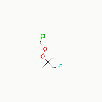 CC(C)(CF)OOCCl